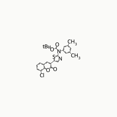 Cc1cc(C)cc(N(C(=O)OC(C)(C)C)c2ncc(-c3cc4cccc(Cl)c4oc3=O)s2)c1